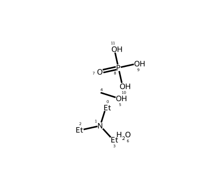 CCN(CC)CC.CO.O.O=P(O)(O)O